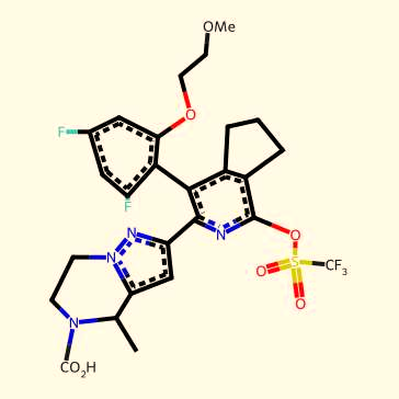 COCCOc1cc(F)cc(F)c1-c1c(-c2cc3n(n2)CCN(C(=O)O)C3C)nc(OS(=O)(=O)C(F)(F)F)c2c1CCC2